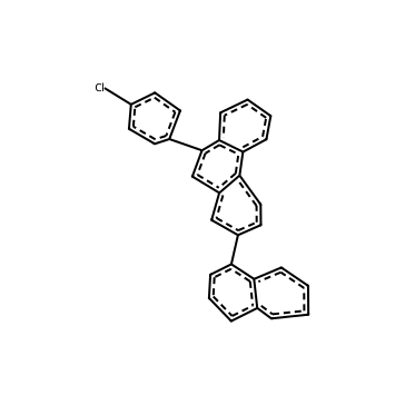 Clc1ccc(-c2cc3cc(-c4cccc5ccccc45)ccc3c3ccccc23)cc1